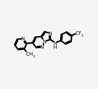 Cc1cccnc1-c1cnn2c(Nc3ccc(C(F)(F)F)cc3)ncc2c1